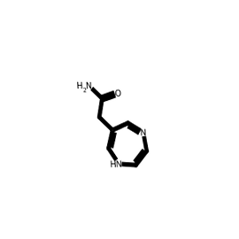 NC(=O)CC1=CNC=CN=C1